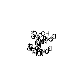 C[C@H]1CN(C(=O)OC(C)(C)C)CCN1c1ncnc2c1c(C(=O)N=[N+]=[N-])cn2-c1cccc(Cl)c1.C[C@H]1CN(C(=O)OC(C)(C)C)CCN1c1ncnc2c1c(C(=O)O)cn2-c1cccc(Cl)c1